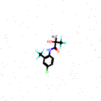 CC(O)(C(=O)Nc1ccc(Cl)cc1C(F)(F)F)C(F)(F)F